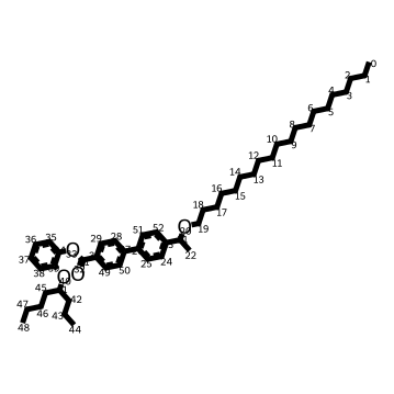 CCCCCCCCCCCCCCCCCCCCOC(C)c1ccc(-c2ccc(C(=O)Oc3ccccc3OC(CCC)CCCC)cc2)cc1